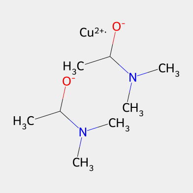 CC([O-])N(C)C.CC([O-])N(C)C.[Cu+2]